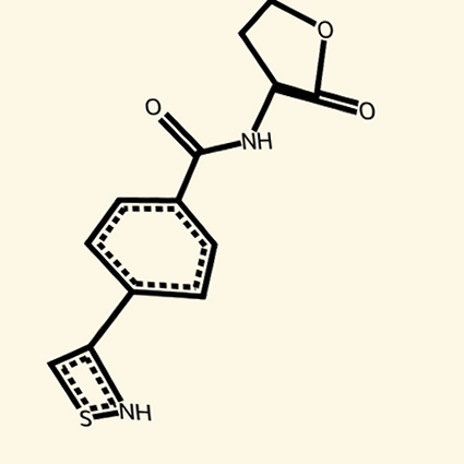 O=C(NC1CCOC1=O)c1ccc(-c2cs[nH]2)cc1